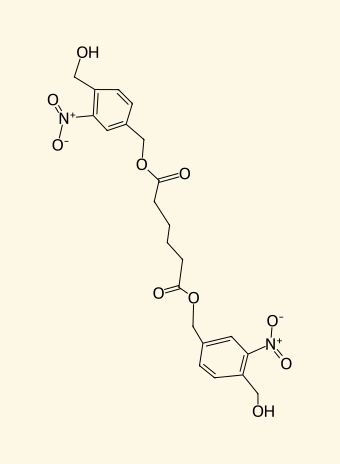 O=C(CCCCC(=O)OCc1ccc(CO)c([N+](=O)[O-])c1)OCc1ccc(CO)c([N+](=O)[O-])c1